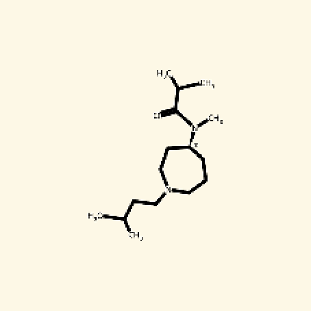 CC(C)CCN1CCC[C@H](N(C)C(=O)C(C)C)CC1